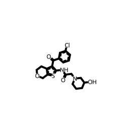 O=C(CN1CCCC(O)C1)Nc1sc2c(c1C(=O)c1cccc(Cl)c1)CCOC2